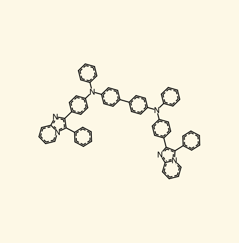 c1ccc(-c2c(-c3ccc(N(c4ccccc4)c4ccc(-c5ccc(N(c6ccccc6)c6ccc(-c7nc8ccccn8c7-c7ccccc7)cc6)cc5)cc4)cc3)nc3ccccn23)cc1